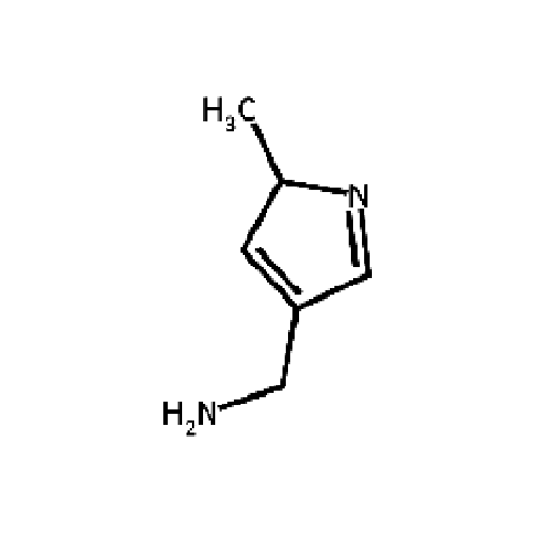 CC1C=C(CN)C=N1